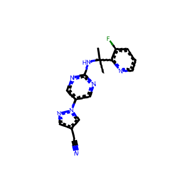 CC(C)(Nc1ncc(-n2cc(C#N)cn2)cn1)c1ncccc1F